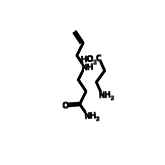 C=CCNCCC(N)=O.NCCC(=O)O